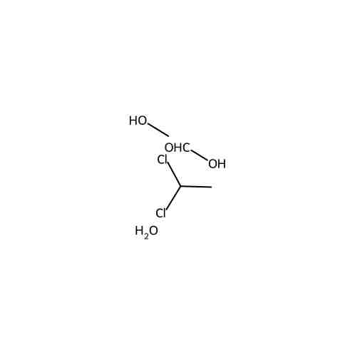 CC(Cl)Cl.CO.O.O=CO